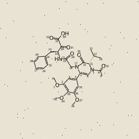 COc1cc(C2=CN(C(C)=O)[C@@H](C(C)C)C(=O)N2CC(=O)N[C@@H](Cc2ccccc2)C(=O)C(=O)O)cc(OC)c1OC